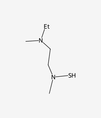 CCN(C)CCN(C)S